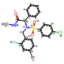 CNC(=O)[C@@H](c1ccccc1)N(Cc1ccc(Br)cc1F)S(=O)(=O)c1ccc(Cl)cc1